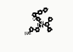 N#Cc1cccc(-c2cccc(-c3nc(-c4cc(-c5ccccc5)cc(-c5ccccc5)c4)nc(-c4ccc5c(c4)oc4cccc(-c6ccc(-c7ccccc7)cc6)c45)n3)c2)c1